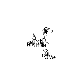 COC(=O)Nc1ccc(-c2c[nH]c([C@@H]3[C@H](C4CC4)C[C@H](C4CCN(S(C)(=O)=O)CC4)CN3C(=O)/C=C/c3cc(Cl)ccc3N3C=NNN3)n2)cc1